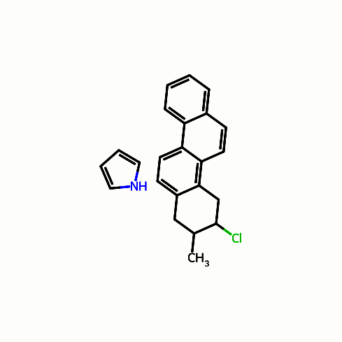 CC1Cc2ccc3c(ccc4ccccc43)c2CC1Cl.c1cc[nH]c1